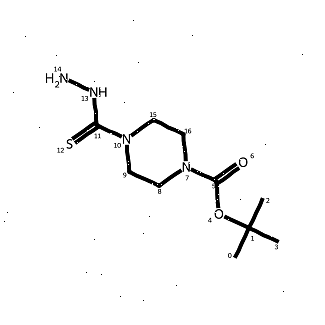 CC(C)(C)OC(=O)N1CCN(C(=S)NN)CC1